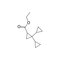 CCOC(=O)C1CC1(C1CC1)C1CC1